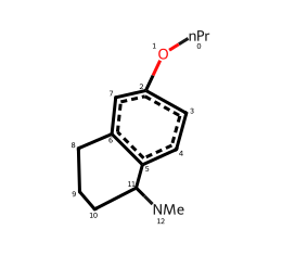 CCCOc1ccc2c(c1)CCCC2NC